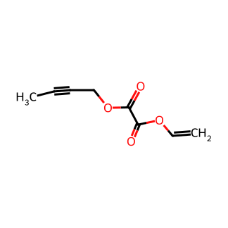 C=COC(=O)C(=O)OCC#CC